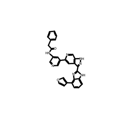 O=C(Cc1ccccc1)Nc1cncc(-c2cc3c(-c4nc5c(-c6ccoc6)cccc5[nH]4)n[nH]c3cn2)c1